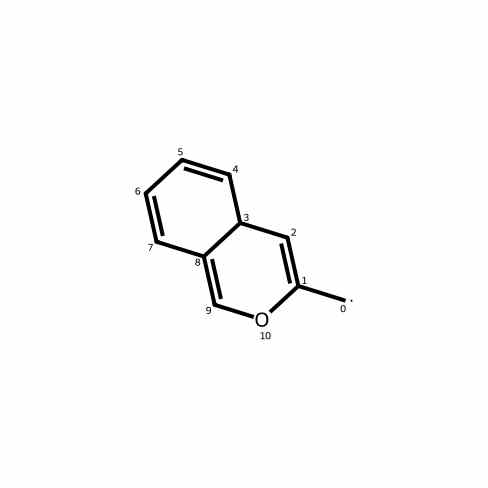 [CH2]C1=CC2C=CC=CC2=CO1